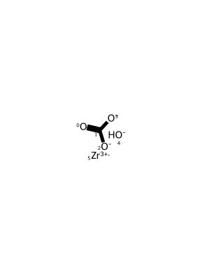 O=C([O-])[O-].[OH-].[Zr+3]